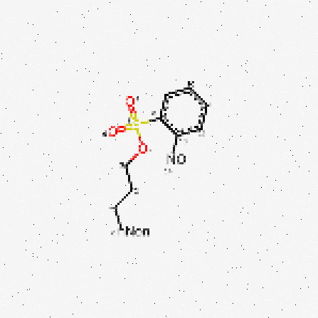 CCCCCCCCCCCCOS(=O)(=O)c1ccccc1N=O